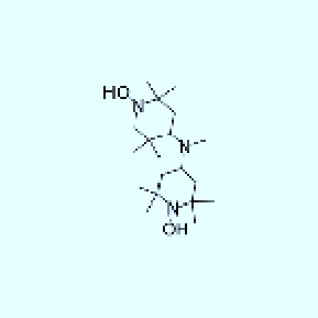 CN(C1CC(C)(C)N(O)C(C)(C)C1)C1CC(C)(C)N(O)CC1(C)C